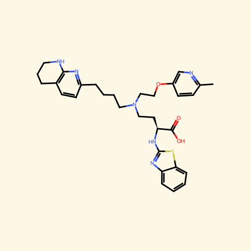 Cc1ccc(OCCN(CCCCc2ccc3c(n2)NCCC3)CC[C@H](Nc2nc3ccccc3s2)C(=O)O)cn1